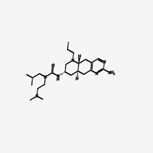 CCCN1C[C@@H](NC(=O)N(CCN(C)C)CC(C)C)C[C@@H]2Cc3nc(N)ncc3C[C@H]21